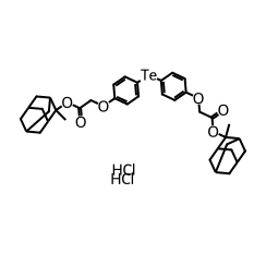 CC1(OC(=O)COc2ccc([Te]c3ccc(OCC(=O)OC4(C)C5CC6CC(C5)CC4C6)cc3)cc2)C2CC3CC(C2)CC1C3.Cl.Cl